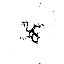 CCCC1=C(CCC)C2=C(CCCC2)[C]1C